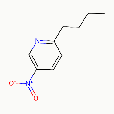 CCCCc1ccc([N+](=O)[O-])cn1